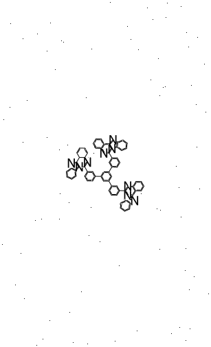 C[C@@]12C=CC=CC1c1nc3ccccc3n1C(c1cccc(-c3cc(-c4cccc(-c5nc6ccccc6c6nc7ccccc7n56)c4)cc(-c4cccc(-c5nc6ccccc6c6nc7ccccc7n56)c4)c3)c1)=N2